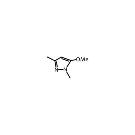 COc1[c]c(C)nn1C